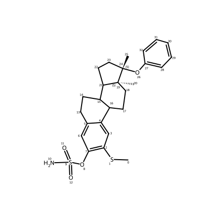 CSc1cc2c(cc1OS(N)(=O)=O)CCC1C2CC[C@@]2(C)C1CC[C@]2(C)Oc1ccccc1